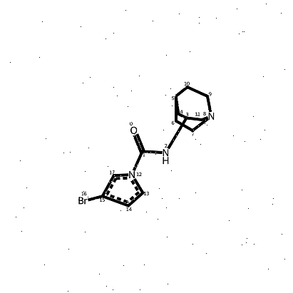 O=C(NC1CC2CCN(CC2)C1)n1ccc(Br)c1